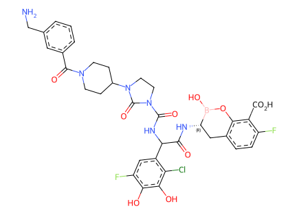 NCc1cccc(C(=O)N2CCC(N3CCN(C(=O)NC(C(=O)N[C@H]4Cc5ccc(F)c(C(=O)O)c5OB4O)c4cc(F)c(O)c(O)c4Cl)C3=O)CC2)c1